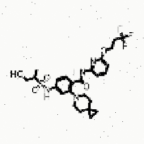 CC(CO)S(=O)(=O)Nc1ccc(C(=O)Nc2cccc(OCCC(F)(F)F)n2)c(N2CCC3(CC2)CC3)c1